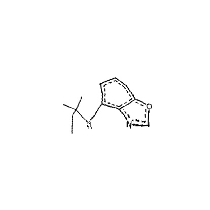 CC(C)(C)Nc1cccc2ocnc12